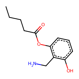 CCCCC(=O)Oc1cccc(O)c1CN